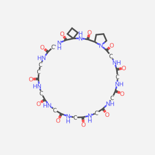 O=C1CCNC(=O)CNC(=O)C2(CCC2)NC(=O)C2CCCN2C(=O)CNC(=O)CNC(=O)CNC(=O)CNC(=O)CNC(=O)CNC(=O)CN1